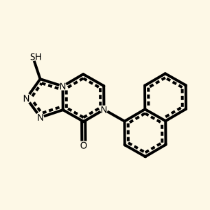 O=c1c2nnc(S)n2ccn1-c1cccc2ccccc12